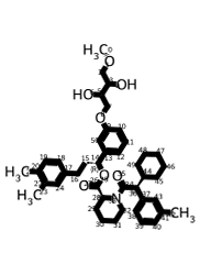 COCC(O)C(O)COc1cccc([C@@H](CCc2ccc(C)c(C)c2)OC(=O)[C@@H]2CCCCN2C(=O)[C@H](c2cccc(C)c2)C2CCCCC2)c1